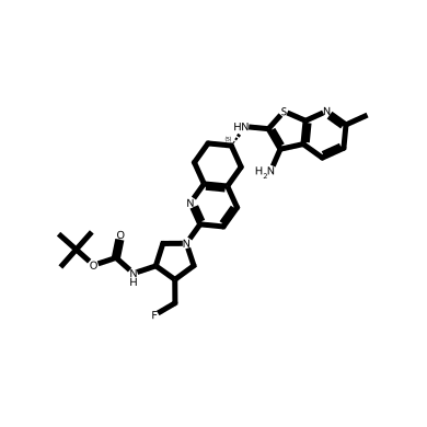 Cc1ccc2c(N)c(N[C@H]3CCc4nc(N5CC(CF)C(NC(=O)OC(C)(C)C)C5)ccc4C3)sc2n1